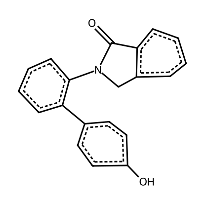 O=C1c2ccccc2CN1c1ccccc1-c1ccc(O)cc1